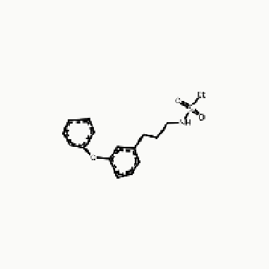 CCS(=O)(=O)NCCCc1cccc(Oc2ccccc2)c1